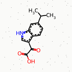 CC(C)c1ccc2c(C(=O)C(=O)O)c[nH]c2c1